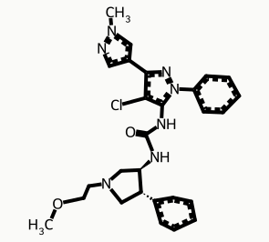 COCCN1C[C@@H](NC(=O)Nc2c(Cl)c(-c3cnn(C)c3)nn2-c2ccccc2)[C@H](c2ccccc2)C1